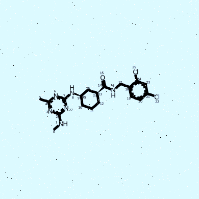 CNc1nc(C)nc(N[C@@H]2CCC[C@H](C(=O)NCc3ccc(Cl)cc3Cl)C2)n1